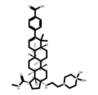 CNC(=O)[C@@H]1CC[C@]2(NCCN3CCS(O)(O)CC3)CC[C@]3(C)[C@H](CC[C@@H]4[C@@]5(C)CC=C(c6ccc(C(=O)O)cc6)C(C)(C)[C@@H]5CC[C@]43C)[C@@H]12